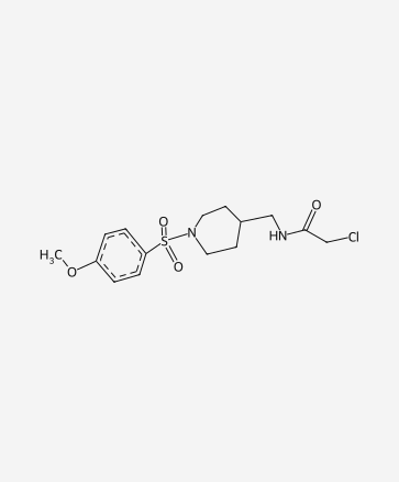 COc1ccc(S(=O)(=O)N2CCC(CNC(=O)CCl)CC2)cc1